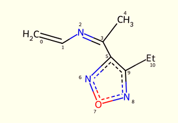 C=C/N=C(/C)c1nonc1CC